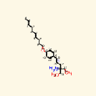 CCCCCCCCCCOc1ccc(/C=C/CC(N)(CO)CO)cc1